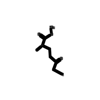 CN(CCC(=O)CI)C(=O)OC(C)(C)C